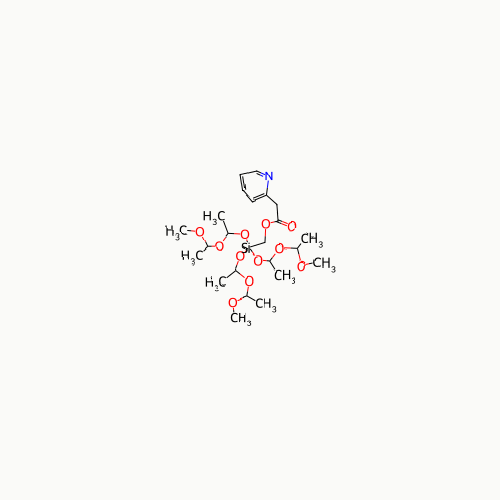 COC(C)OC(C)O[Si](COC(=O)Cc1ccccn1)(OC(C)OC(C)OC)OC(C)OC(C)OC